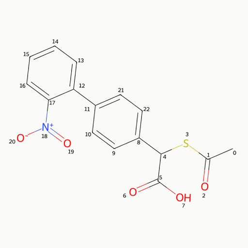 CC(=O)SC(C(=O)O)c1ccc(-c2ccccc2[N+](=O)[O-])cc1